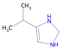 CC(C)C1=CNCN1